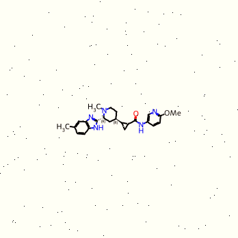 COc1ccc(NC(=O)C2CC2[C@@H]2CCN(C)[C@@H](c3nc4cc(C)ccc4[nH]3)C2)cn1